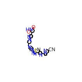 CNc1cc(-c2ccc3cc(C#N)cnn23)ncc1-c1nnc(N2CCN(CC3CCN(c4ccc(C5CCC(=O)NC5=O)cn4)CC3)CC2)s1